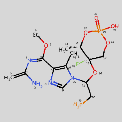 C=C(N)/N=C(/OCC)c1ncn(C(CP)O[C@]2(F)COP(=O)(O)O[C@H]2C)c1C